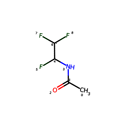 CC(=O)NC(F)[C](F)F